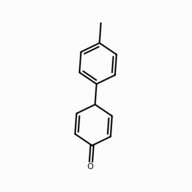 Cc1ccc(C2C=CC(=O)C=C2)cc1